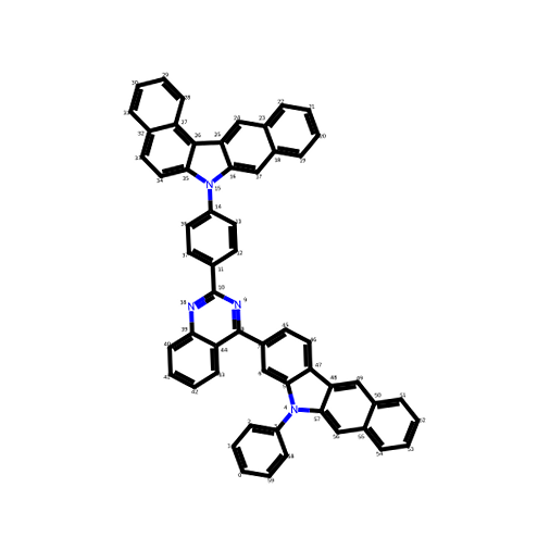 c1ccc(-n2c3cc(-c4nc(-c5ccc(-n6c7cc8ccccc8cc7c7c8ccccc8ccc76)cc5)nc5ccccc45)ccc3c3cc4ccccc4cc32)cc1